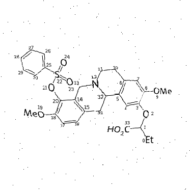 CCC(Oc1cc2c(cc1OC)CCN1Cc3c(ccc(OC)c3OS(=O)(=O)c3ccccc3)CC21)C(=O)O